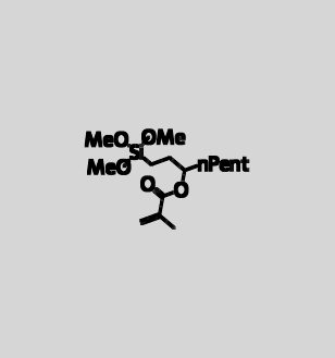 C=C(C)C(=O)OC(CCCCC)CC[Si](OC)(OC)OC